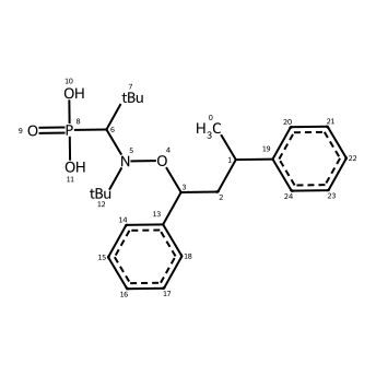 CC(CC(ON(C(C(C)(C)C)P(=O)(O)O)C(C)(C)C)c1ccccc1)c1ccccc1